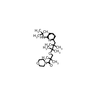 CC(C)(C)Nc1cccc(CC(C)(C)C(C)(C)OCC(C)(C)C(=O)N2CCOCC2)n1